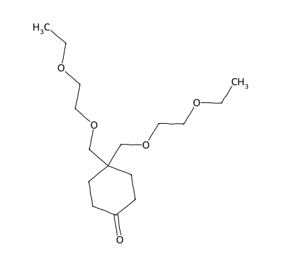 CCOCCOCC1(COCCOCC)CCC(=O)CC1